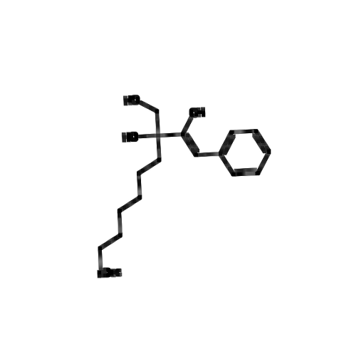 CCCCCCCCCCCCCCCCC(O)(CO)C(O)=Cc1ccccc1